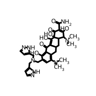 CN(C)c1cc(CN(Cc2ccn[nH]2)Cc2ccn[nH]2)c(O)c2c1CC1CC3C(N(C)C)C(O)=C(C(N)=O)C(=O)C3(O)C(O)=C1C2=O